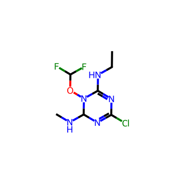 CCNC1=NC(Cl)=NC(NC)N1OC(F)F